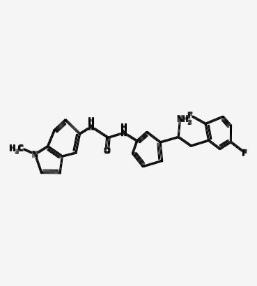 Cn1ccc2cc(NC(=O)Nc3cccc(C(N)Cc4cc(F)ccc4F)c3)ccc21